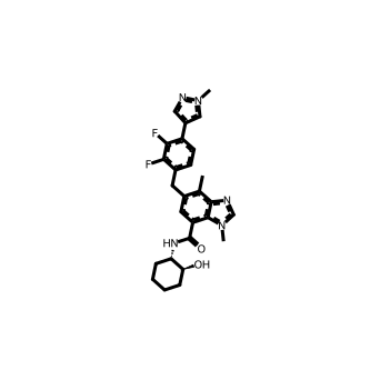 Cc1c(Cc2ccc(-c3cnn(C)c3)c(F)c2F)cc(C(=O)N[C@H]2CCCC[C@@H]2O)c2c1ncn2C